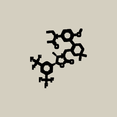 CCN(C(C)=O)c1ccc(OC)c(C2=C(CN3C(=O)O[C@H](c4cc(C(F)(F)F)cc(C(F)(F)F)c4)[C@@H]3C)CC(C)(C)CC2)c1